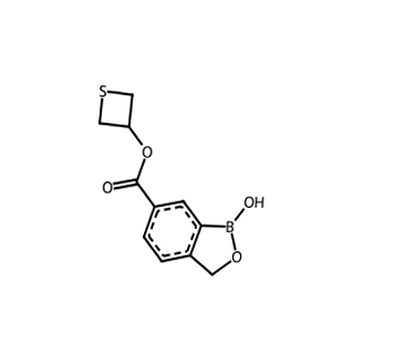 O=C(OC1CSC1)c1ccc2c(c1)B(O)OC2